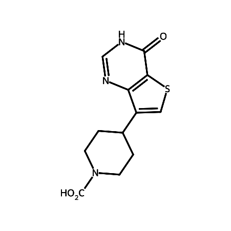 O=C(O)N1CCC(c2csc3c(=O)[nH]cnc23)CC1